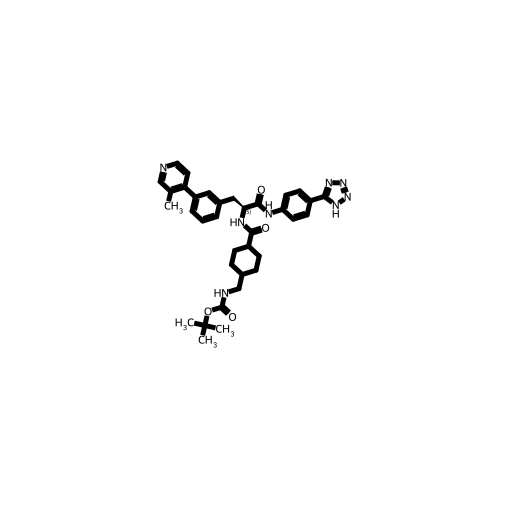 Cc1cnccc1-c1cccc(C[C@H](NC(=O)C2CCC(CNC(=O)OC(C)(C)C)CC2)C(=O)Nc2ccc(-c3nnn[nH]3)cc2)c1